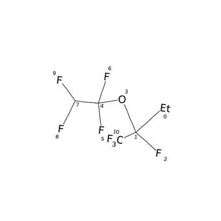 CCC(F)(OC(F)(F)C(F)F)C(F)(F)F